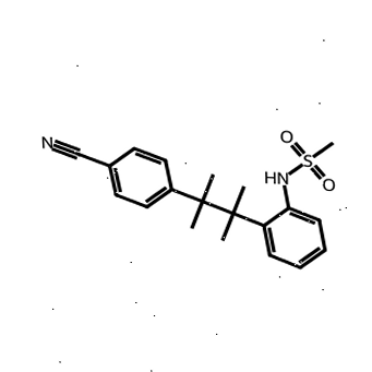 CC(C)(c1ccc(C#N)cc1)C(C)(C)c1ccccc1NS(C)(=O)=O